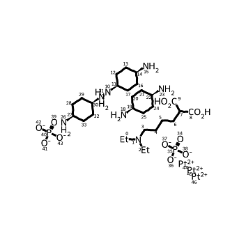 CCN(CC)CCCCC(C(=O)O)C(=O)O.N[C@H]1CC[C@@H](N)CC1.N[C@H]1CC[C@@H](N)CC1.N[C@H]1CC[C@@H](N)CC1.O=P([O-])([O-])[O-].O=P([O-])([O-])[O-].[Pt+2].[Pt+2].[Pt+2]